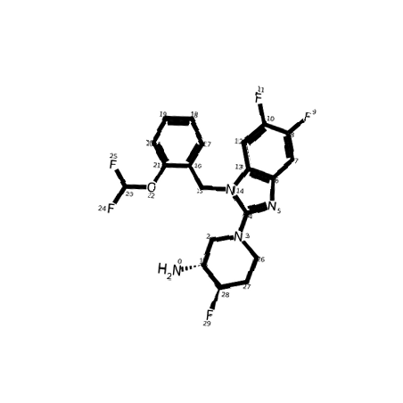 N[C@@H]1CN(c2nc3cc(F)c(F)cc3n2Cc2ccccc2OC(F)F)CC[C@H]1F